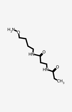 CCC(=O)NCCC(=O)NCCCCON